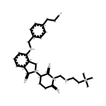 C[Si](C)(C)CCOCN1C(=O)CCC(N2Cc3c(OCc4ccc(CCI)cc4)cccc3C2=O)C1=O